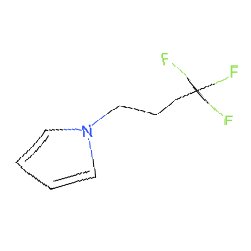 FC(F)(F)CCn1cccc1